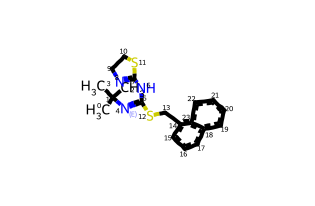 CC(C)(C)/N=C(\NC1=NCCS1)SCc1cccc2ccccc12